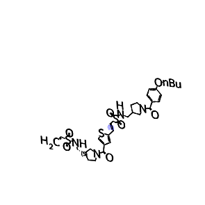 C=CS(=O)(=O)NC[C@H]1CCN(C(=O)c2csc(/C=C/S(=O)(=O)NCC3CCN(C(=O)c4ccc(OCCCC)cc4)C3)c2)C1